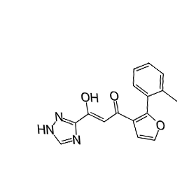 Cc1ccccc1-c1occc1C(=O)C=C(O)c1nc[nH]n1